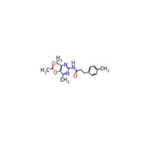 CC(=O)Oc1c(C)nc(NC(=O)CCc2ccc(C)cc2)nc1C